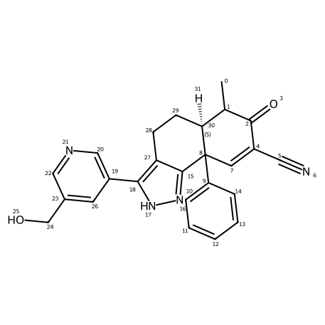 CC1C(=O)C(C#N)=CC2(c3ccccc3)c3n[nH]c(-c4cncc(CO)c4)c3CC[C@@H]12